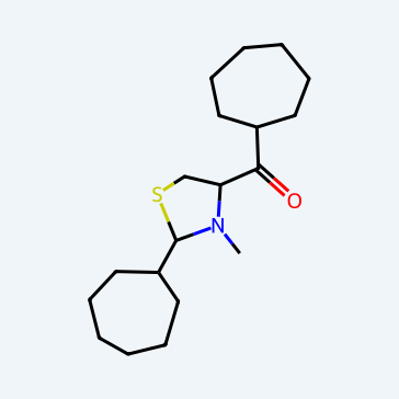 CN1C(C(=O)C2CCCCCC2)CSC1C1CCCCCC1